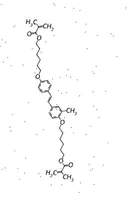 C=C(C)C(=O)OCCCCCCOc1ccc(C=Cc2ccc(OCCCCCCOC(=O)C(=C)C)c(C)c2)cc1